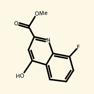 COC(=O)c1cc(O)c2cccc(F)c2n1